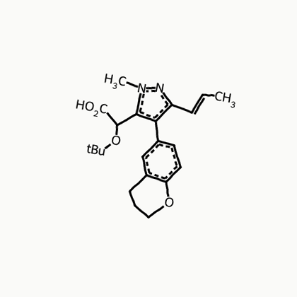 CC=Cc1nn(C)c(C(OC(C)(C)C)C(=O)O)c1-c1ccc2c(c1)CCCO2